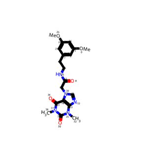 COc1cc(CCNC(=O)Cn2cnc3c2c(=O)n(C)c(=O)n3C)cc(OC)c1